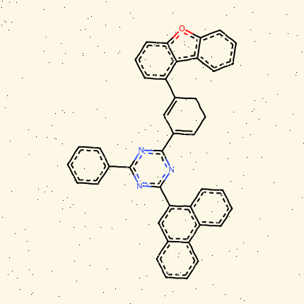 C1=C(c2nc(-c3ccccc3)nc(-c3cc4ccccc4c4ccccc34)n2)C=C(c2cccc3oc4ccccc4c23)CC1